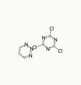 Clc1nc(Cl)nc(Cl)n1.c1cnnnc1